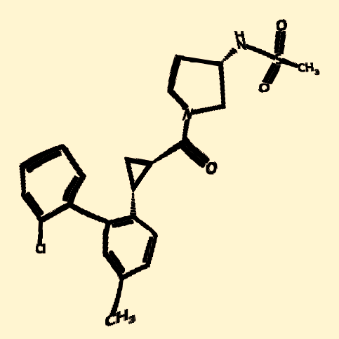 Cc1ccc([C@@H]2C[C@H]2C(=O)N2CC[C@H](NS(C)(=O)=O)C2)c(-c2ccccc2Cl)c1